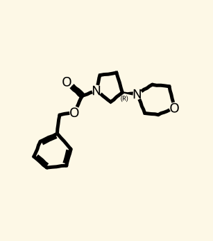 O=C(OCc1ccccc1)N1CC[C@@H](N2CCOCC2)C1